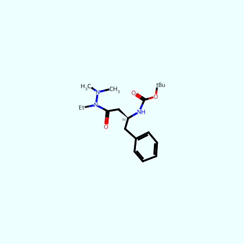 CCN(C(=O)C[C@H](Cc1ccccc1)NC(=O)OC(C)(C)C)N(C)C